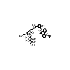 CC(CCCCN(CCOCCO)C(=O)NC[C@H](O)[C@@H](O)[C@H](O)[C@H](O)CO)c1ccc(Cl)c(CNC2(c3cnccc3-c3ccccc3OC3CC3)CC2)c1